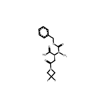 CN(C(=O)OCc1ccccc1)[C@@H](CC(=O)N1CC(F)(F)C1)C(=O)O